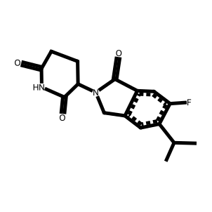 CC(C)c1cc2c(cc1F)C(=O)N(C1CCC(=O)NC1=O)C2